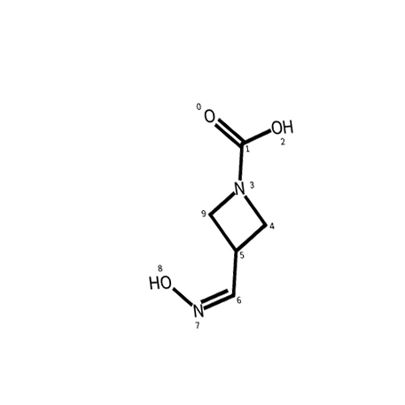 O=C(O)N1CC(/C=N\O)C1